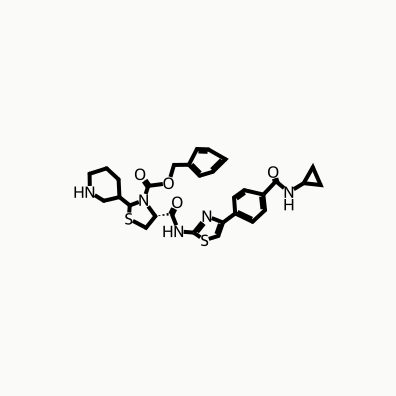 O=C(NC1CC1)c1ccc(-c2csc(NC(=O)[C@@H]3CSC(C4CCCNC4)N3C(=O)OCc3ccccc3)n2)cc1